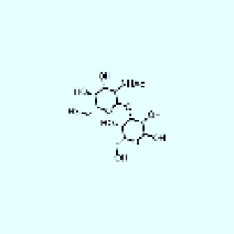 CC(=O)N[C@H]1C(O[C@H]2[C@@H](O)[C@@H](CO)OC(O)[C@@H]2O)O[C@H](CS)[C@@H](O)[C@@H]1O